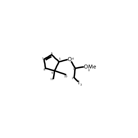 COC(CI)OC1C=CCC1(C)C